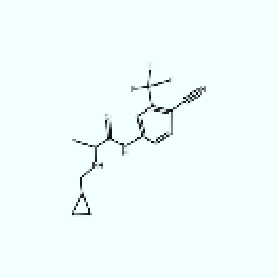 CC(NCC1CC1)C(=O)Nc1ccc(C#N)c(C(F)(F)F)c1